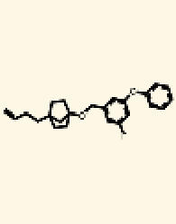 C=CCCC12CCC(OCc3cc(F)cc(Oc4ccccc4)c3)(CC1)C2